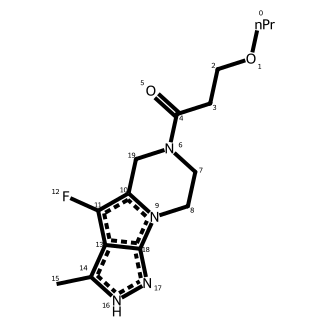 CCCOCCC(=O)N1CCn2c(c(F)c3c(C)[nH]nc32)C1